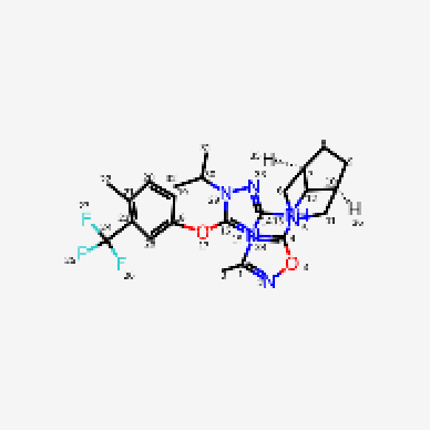 Cc1noc(N2C[C@H]3CC[C@@H](C2)C3Nc2nc(Oc3ccc(C)c(C(F)(F)F)c3)n(C(C)C)n2)n1